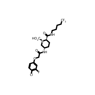 O=C(COc1ccc(Cl)c(F)c1)N[C@H]1CC[C@H](C(=O)NCCCCC(F)(F)F)N(C(=O)O)C1